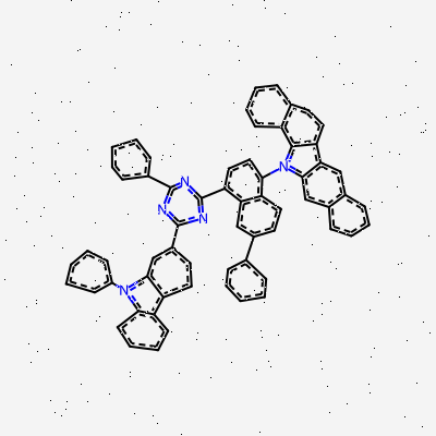 c1ccc(-c2ccc3c(-n4c5cc6ccccc6cc5c5ccc6ccccc6c54)ccc(-c4nc(-c5ccccc5)nc(-c5ccc6c7ccccc7n(-c7ccccc7)c6c5)n4)c3c2)cc1